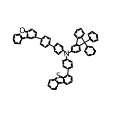 c1ccc(C2(c3ccccc3)c3ccccc3-c3cc(N(c4ccc(-c5ccc(-c6ccc7oc8ccccc8c7c6)cc5)cc4)c4ccc(-c5cccc6c5sc5ccccc56)cc4)ccc32)cc1